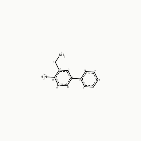 NCc1cc(-c2ccccc2)cnc1N